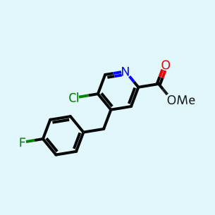 COC(=O)c1cc(Cc2ccc(F)cc2)c(Cl)cn1